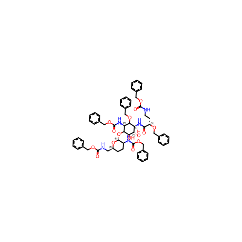 O=C(NCC[C@H](OCc1ccccc1)C(=O)N[C@@H]1C(OCc2ccccc2)[C@H](NC(=O)OCc2ccccc2)C(O[C@H]2O[C@H](CNC(=O)OCc3ccccc3)CCC2NC(=O)OCc2ccccc2)C(O)[C@H]1O)OCc1ccccc1